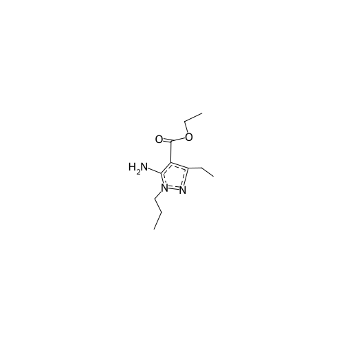 CCCn1nc(CC)c(C(=O)OCC)c1N